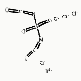 O=C=NS(=O)(=O)N=C=O.[Cl-].[Cl-].[Cl-].[Cl-].[Ti+4]